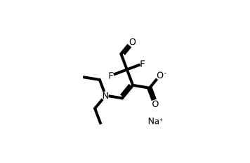 CCN(C=C(C(=O)[O-])C(F)(F)C=O)CC.[Na+]